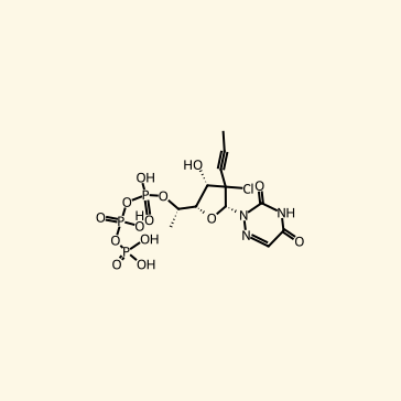 CC#CC1(Cl)[C@@H](O)[C@@H]([C@H](C)OP(=O)(O)OP(=O)(O)OP(=O)(O)O)O[C@H]1n1ncc(=O)[nH]c1=O